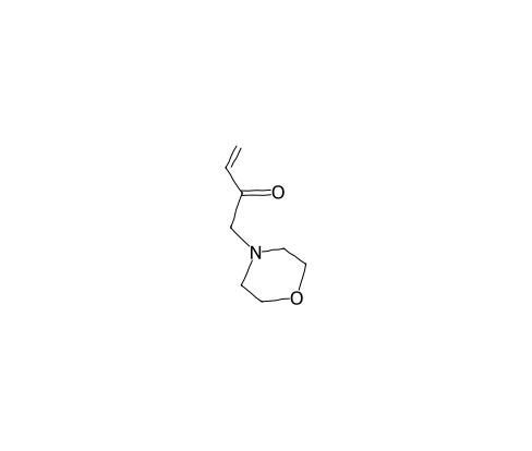 C=CC(=O)CN1CCOCC1